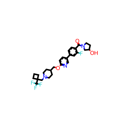 O=C(c1ccc(-c2ccc(OCC3CCN(CC4(C(F)(F)F)CCC4)CC3)nc2)cc1F)N1CCC(O)C1